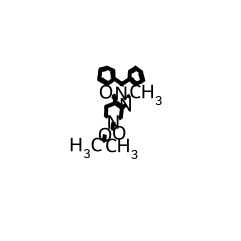 Cc1nc2c(c(=O)n1C(c1ccccc1)c1ccccc1)CCN(C(=O)OC(C)C)C2